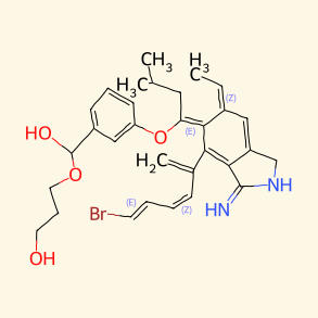 C=C(/C=C\C=C\Br)c1c2c(cc(=C/C)/c1=C(\CC(C)C)Oc1cccc(C(O)OCCCO)c1)CNC2=N